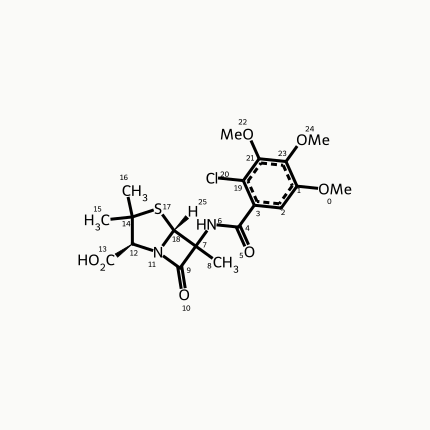 COc1cc(C(=O)NC2(C)C(=O)N3[C@@H](C(=O)O)C(C)(C)S[C@@H]32)c(Cl)c(OC)c1OC